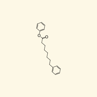 O=C(CCCCCCCc1ccccc1)Oc1ccccc1